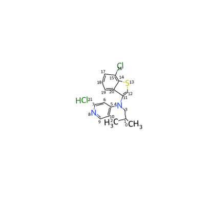 CC(C)CN(c1ccncc1)c1csc2c(Cl)cccc12.Cl